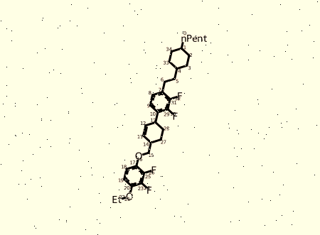 CCCCCC1CCC(CCc2ccc(C3C=CC(COc4ccc(OCC)c(F)c4F)CC3)c(F)c2F)CC1